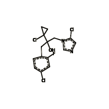 OC(Cc1ccc(Cl)cc1F)(Cn1cncc1Cl)C1(Cl)CC1